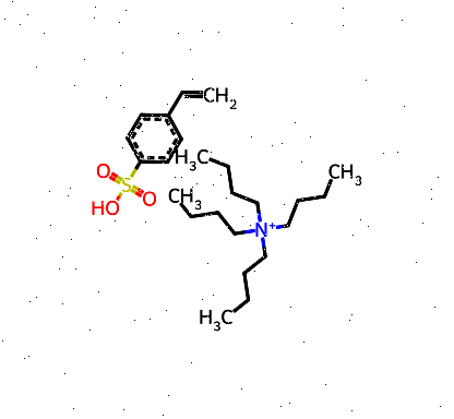 C=Cc1ccc(S(=O)(=O)O)cc1.CCCC[N+](CCCC)(CCCC)CCCC